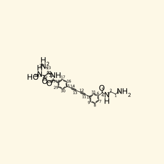 NCCNC(=O)c1cccc(C#CC#Cc2ccc(C(=O)N[C@@H](CN)C(=O)NO)cc2)c1